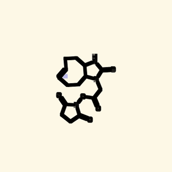 O=C(CN1C(=O)NC2CC/C=C/CCC21)ON1C(=O)CCC1=O